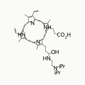 C=CC1=C(C)c2cc3[nH]c(cc4nc(cc5[nH]c(cc1n2)c(C)c5CCC(=O)O)C(CCC(O)NCCN(C(C)C)C(C)C)=C4C)c(C)c3C=C